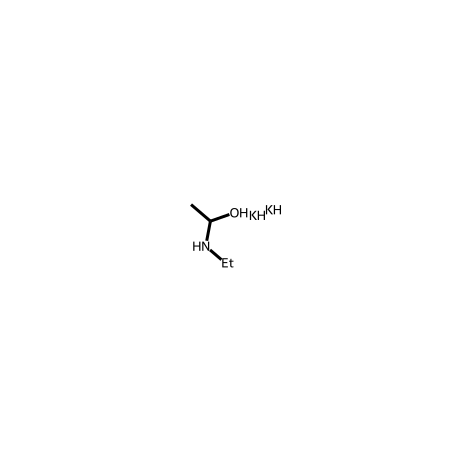 CCNC(C)O.[KH].[KH]